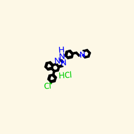 Cl.Clc1ccc(C2Cc3cnc(Nc4ccc(CCN5CCCCC5)cc4)nc3-c3ccccc32)cc1